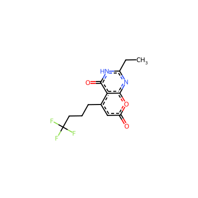 CCc1nc2oc(=O)cc(CCCC(F)(F)F)c2c(=O)[nH]1